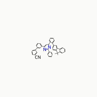 CC1(C)c2ccccc2-c2cc(-c3ccccc3-c3cc(-c4cccc(-c5cccc(C#N)c5)c4)nc(-c4ccccc4)n3)ccc21